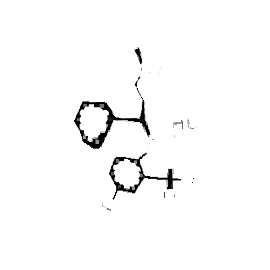 Cl.[2H]c1ccc(OC(CCNC)c2ccccc2)c(C([2H])([2H])[2H])c1